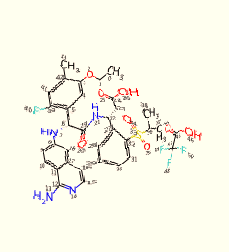 CCOc1cc([C@@H](Nc2ccc3c(N)nccc3c2)C(=O)N[C@H](CC(=O)O)c2ccccc2S(=O)(=O)C(C)C)c(F)cc1C.O=C(O)C(F)(F)F